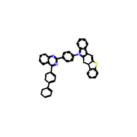 C1=CCCC(C2=CC=C(c3nc(-c4ccc(-n5c6c(c7ccccc75)C=C5Sc7ccccc7C5C6)cc4)nc4ccccc34)CC2)=C1